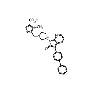 Cn1c(C(=O)O)cnc1CN1CC[C@H](n2c(=O)n(-c3ccc(-c4ccccc4)cc3)c3cccnc32)C1